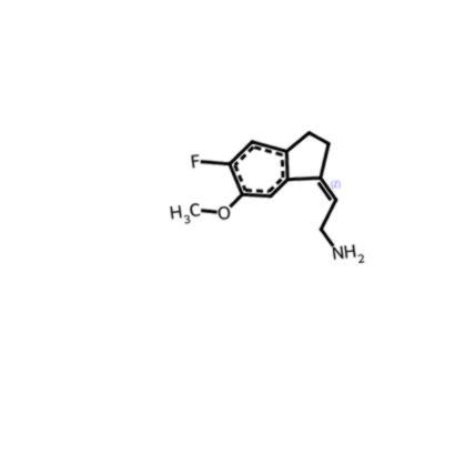 COc1cc2c(cc1F)CC/C2=C/CN